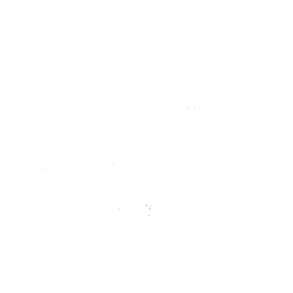 COCOCCc1cncc(C(=O)OC)c1